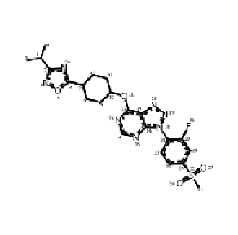 CC(C)c1noc(C2CCC(Oc3ncnc4c3nnn4-c3ccc(S(C)(=O)=O)cc3F)CC2)n1